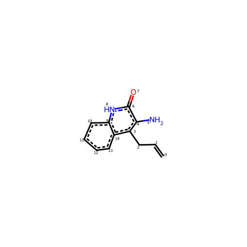 C=CCc1c(N)c(=O)[nH]c2ccccc12